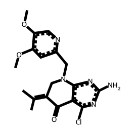 COc1cnc(CN2CC(=C(C)C)C(=O)c3c(Cl)nc(N)nc32)cc1OC